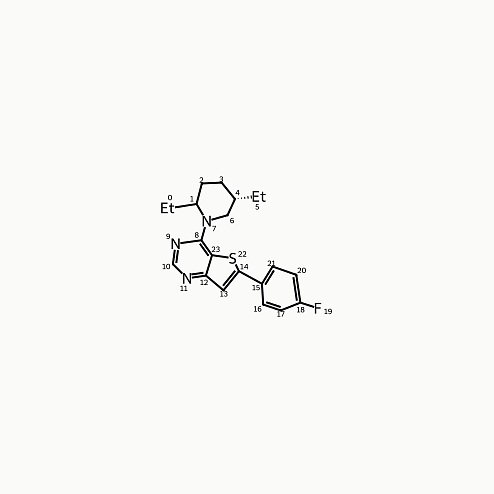 CCC1CC[C@H](CC)CN1c1ncnc2cc(-c3ccc(F)cc3)sc12